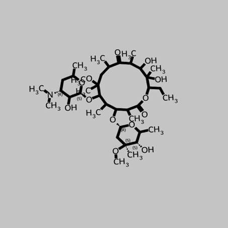 CCC1OC(=O)C(C)C(O[C@H]2C[C@](C)(OC)[C@@H](O)C(C)O2)C(C)C(O[C@@H]2OC(C)C[C@@H](N(C)C)C2O)C(C)(OC)CC(C)C(=O)C(C)C(O)C1(C)O